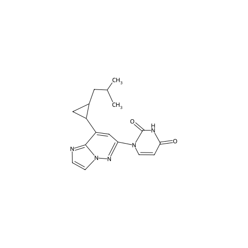 CC(C)CC1CC1c1cc(-n2ccc(=O)[nH]c2=O)nn2ccnc12